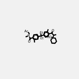 CCC(CC)(c1ccc(C(=O)C(C)C2(O)CCCCC2)c(C)c1)c1ccc(C(=O)N(C)CC(C)=O)c(C)c1